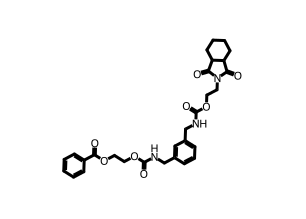 O=C(NCc1cccc(CNC(=O)OCCN2C(=O)C3CCCCC3C2=O)c1)OCCOC(=O)c1ccccc1